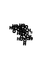 CCC(C(=O)O)C(=O)O.CCC(C(=O)O)C(=O)O.CCC(C(=O)O)C(=O)O.OCC(O)CO